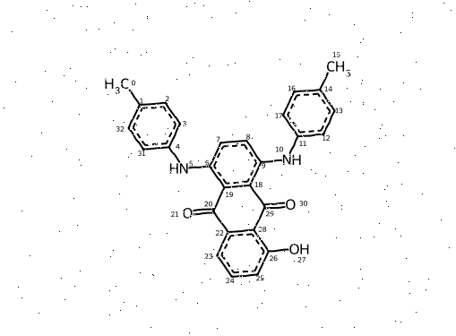 Cc1ccc(Nc2ccc(Nc3ccc(C)cc3)c3c2C(=O)c2cccc(O)c2C3=O)cc1